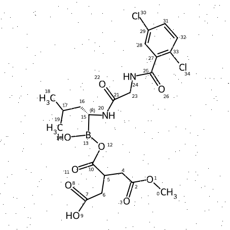 COC(=O)CC(CC(=O)O)C(=O)OB(O)[C@H](CC(C)C)NC(=O)CNC(=O)c1cc(Cl)ccc1Cl